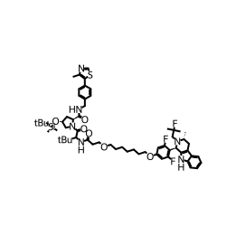 Cc1ncsc1-c1ccc(CNC(=O)[C@@H]2C[C@@H](O[Si](C)(C)C(C)(C)C)CN2C(=O)C(NC(=O)CCOCCCCCCCOc2cc(F)c([C@@H]3c4[nH]c5ccccc5c4C[C@@H](C)N3CC(C)(C)F)c(F)c2)C(C)(C)C)cc1